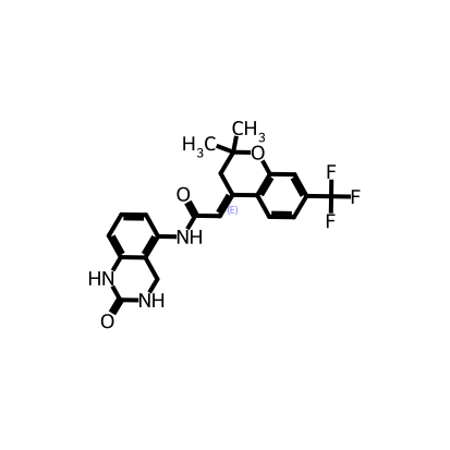 CC1(C)C/C(=C\C(=O)Nc2cccc3c2CNC(=O)N3)c2ccc(C(F)(F)F)cc2O1